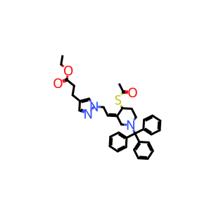 CCOC(=O)CCc1cnn(CC=C2CN(C(c3ccccc3)(c3ccccc3)c3ccccc3)CCC2SC(C)=O)c1